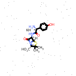 CC1(C)S[C@@H]2[C@H](NC(=O)[C@H](N)c3ccc(O)cc3)C(=O)N2[C@H]1C(=O)O.[KH]